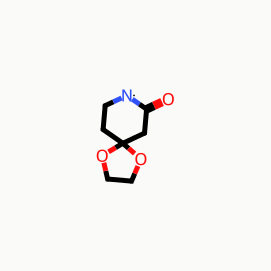 O=C1CC2(CC[N]1)OCCO2